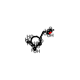 CC[C@H]1C[C@H](C)[C@@]2(NC1=O)O[C@@H](C[C@H](O)[C@@H](C)CC/C=C/C=C(\C)[C@@H]1C/C=C/C=C/[C@H](O)[C@H](C)[C@@H](O)[C@@H](CCC(C)=O)C(=O)N[C@@H](C(C)C)C(=O)N[C@@H](Cc3ccc(F)c(O)c3)C(=O)N3CCCC(N3)C(=O)O1)[C@H](C)[C@H](O)[C@@H]2C